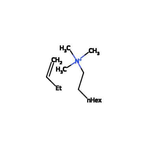 C=CCC.CCCCCCCC[N+](C)(C)C